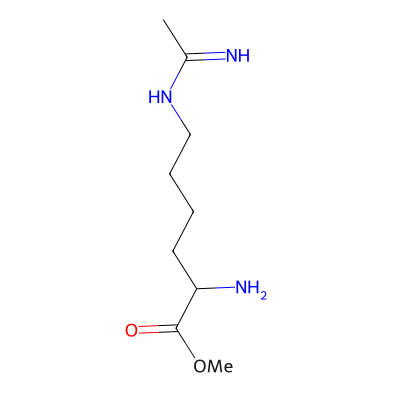 COC(=O)C(N)CCCCNC(C)=N